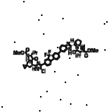 COC(=O)N[C@H](C(=O)N1CC2(CC2)CC1c1nc(-c2ccc3c(c2)C(F)(F)c2cc(-c4ccc5nc([C@@H]6[C@H]7CC[C@H](C7)N6C(=O)[C@@H](NC(=O)OC)C(C)C)[nH]c5c4)ccc2-3)c(Cl)[nH]1)C(C)C